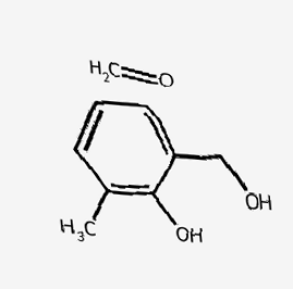 C=O.Cc1cccc(CO)c1O